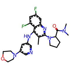 Cc1c(N2CCCC2C(=O)N(C)C)nc2cc(F)cc(F)c2c1Nc1cncc(N2CCOCC2)c1